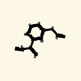 CNC(=O)c1nccc(COC)n1